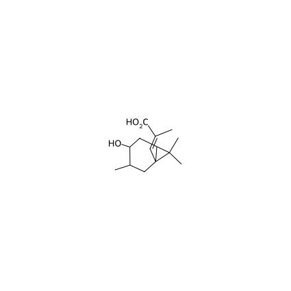 CC(=CC12CC(C)C(O)CC1C2(C)C)C(=O)O